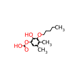 CCCCCOc1c(C)c(C)cc(OC(=O)O)c1O